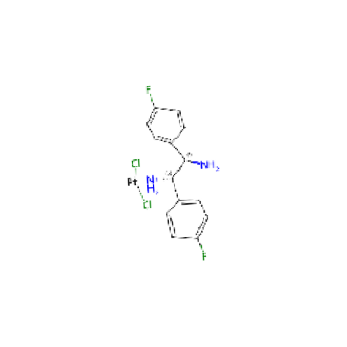 N[C@H](c1ccc(F)cc1)[C@@H](N)c1ccc(F)cc1.[Cl][Pt][Cl]